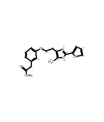 COC(=O)Cc1cccc(OCCc2nc(-c3cccs3)oc2C)c1